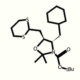 CC(C)(C)OC(=O)N1[C@@H](CC2CCCCC2)[C@H](CC2SCCCS2)OC1(C)C